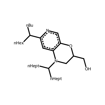 CCCCCCCC(CCCCCCC)N1CC(CO)Oc2cnc(C(CCCC)CCCCCC)cc21